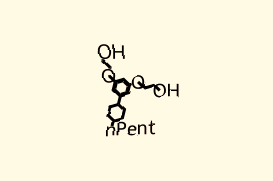 CCCCCC1CCC(c2cc(OCCO)cc(OCCO)c2)CC1